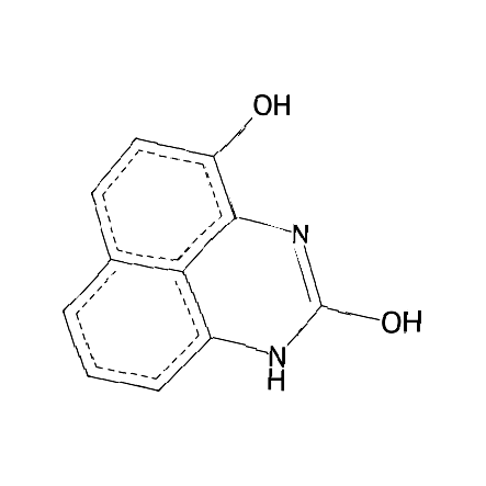 OC1=Nc2c(O)ccc3cccc(c23)N1